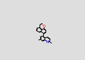 Cc1[c]c(-c2ccc3c4c(cccc24)CCO3)c2ccc(C)nc2c1